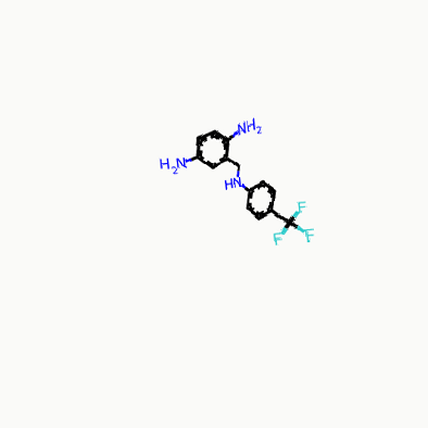 Nc1ccc(N)c(CNc2ccc(C(F)(F)F)cc2)c1